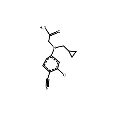 N#Cc1ccc(N(CC(N)=O)CC2CC2)cc1Cl